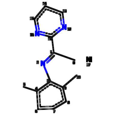 CC(=Nc1c(C)cccc1C)c1ncccn1.[Ni]